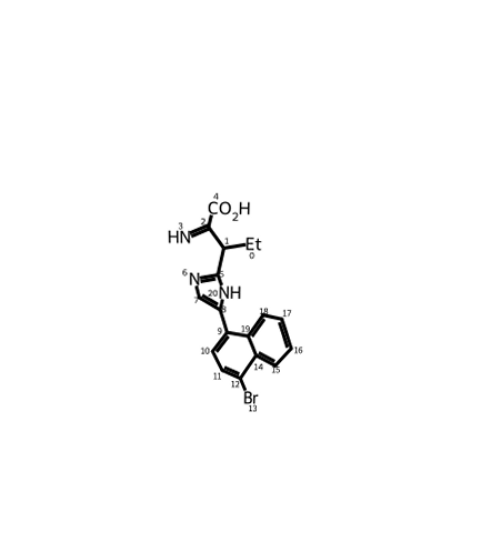 CCC(C(=N)C(=O)O)c1ncc(-c2ccc(Br)c3ccccc23)[nH]1